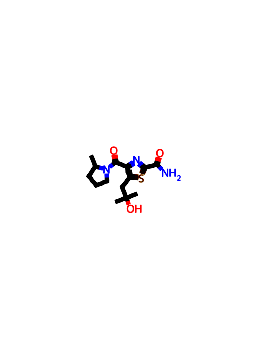 CC1CCCN1C(=O)c1nc(C(N)=O)sc1CC(C)(C)O